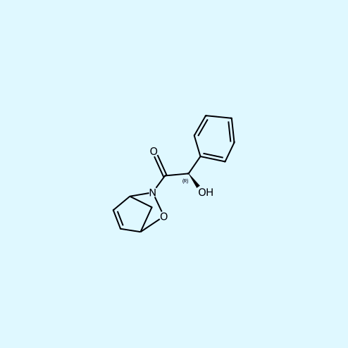 O=C([C@H](O)c1ccccc1)N1OC2C=CC1C2